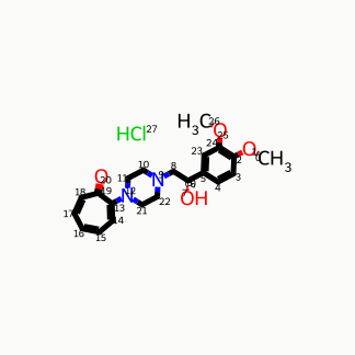 COc1ccc([C@H](O)CN2CCN(c3cccccc3=O)CC2)cc1OC.Cl